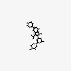 C=C(C)/C=C(\C=C(/C)N1CCN(C)CC1)c1[nH]c2ccc(C3CCNCC3)cc2c1C(C)C